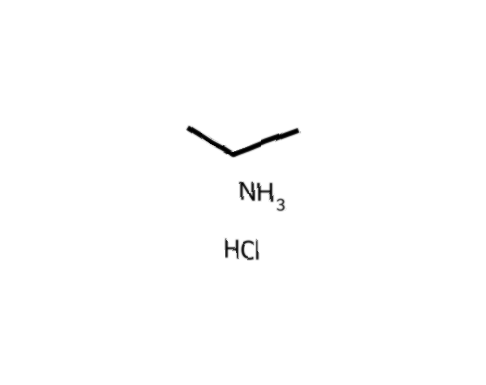 CCC.Cl.N